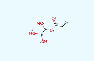 C=CC(=O)OC(O)C(O)O